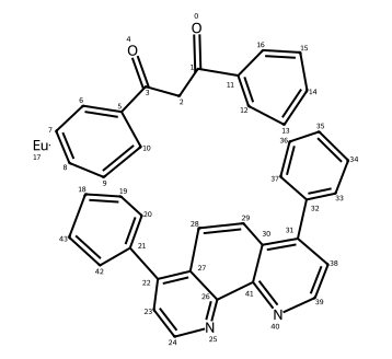 O=C(CC(=O)c1ccccc1)c1ccccc1.[Eu].c1ccc(-c2ccnc3c2ccc2c(-c4ccccc4)ccnc23)cc1